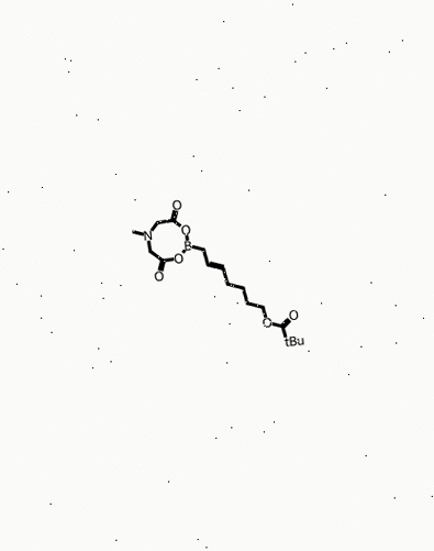 CN1CC(=O)OB(CC=CCCCCOC(=O)C(C)(C)C)OC(=O)C1